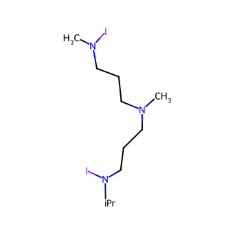 CC(C)N(I)CCCN(C)CCCN(C)I